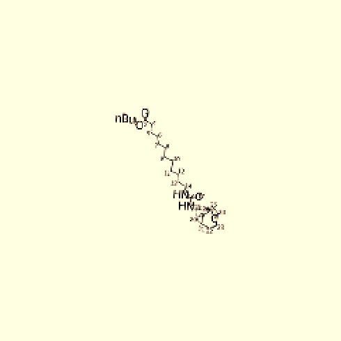 CCCCOC(=O)CCCCCCCCCCCNC(=O)NC1CC2CC3CCC1C(C3)C2